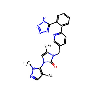 CCCCc1cn(-c2c(C(C)=O)cnn2C)c(=O)n1Cc1ccc(-c2ccccc2-c2nnn[nH]2)nc1